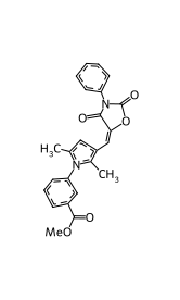 COC(=O)c1cccc(-n2c(C)cc(/C=C3/OC(=O)N(c4ccccc4)C3=O)c2C)c1